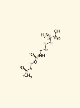 CC(=O)CCOC(=O)NCCCC[C@H](N)C(=O)O